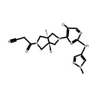 Cn1cc(Nc2ncc(Cl)c(N3C[C@@H]4CN(C(=O)CC#N)C[C@@]4(C)C3)n2)cn1